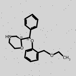 CCOCc1ccccc1O[C@@H](c1ccccc1)[C@@H]1CNCCO1